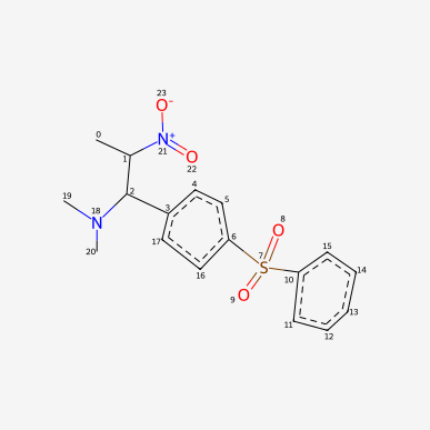 CC(C(c1ccc(S(=O)(=O)c2ccccc2)cc1)N(C)C)[N+](=O)[O-]